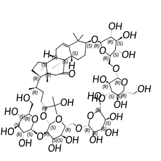 C[C@H](CC[C@@H](O[C@@H]1O[C@H](CO[C@@H]2O[C@H](CO)[C@@H](O)[C@H](O)[C@H]2O)[C@@H](O)[C@H](O)[C@H]1O[C@@H]1O[C@H](CO)[C@@H](O)[C@H](O)[C@H]1O)C(C)(C)O)[C@H]1CC[C@@]2(C)[C@@H]3CC=C4[C@H](CC[C@H](O[C@@H]5O[C@H](CO[C@@H]6O[C@H](CO)[C@@H](O)[C@H](O)[C@H]6O)[C@@H](O)[C@H](O)[C@H]5O)C4(C)C)[C@@]3(C)C(=O)C[C@]12C